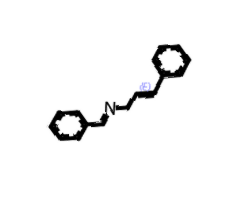 C(=NC/C=C/c1ccccc1)c1ccccc1